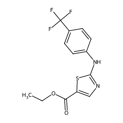 CCOC(=O)c1cnc(Nc2ccc(C(F)(F)F)cc2)s1